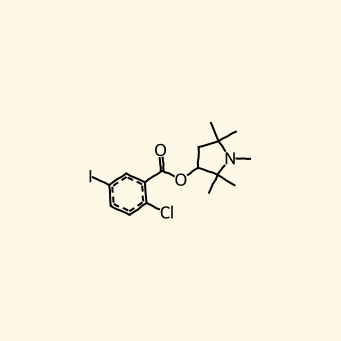 CN1C(C)(C)CC(OC(=O)c2cc(I)ccc2Cl)C1(C)C